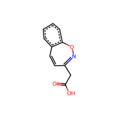 O=C(O)CC1=NOc2ccccc2C=C1